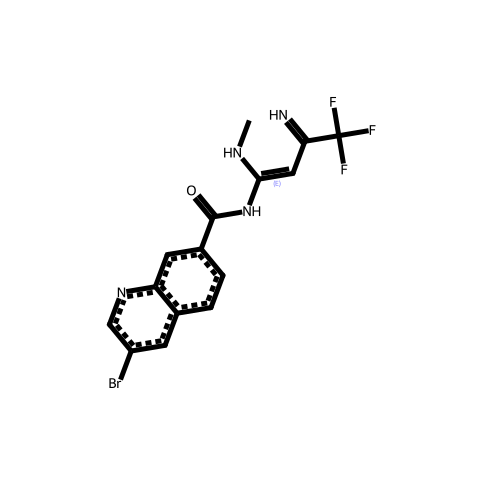 CN/C(=C\C(=N)C(F)(F)F)NC(=O)c1ccc2cc(Br)cnc2c1